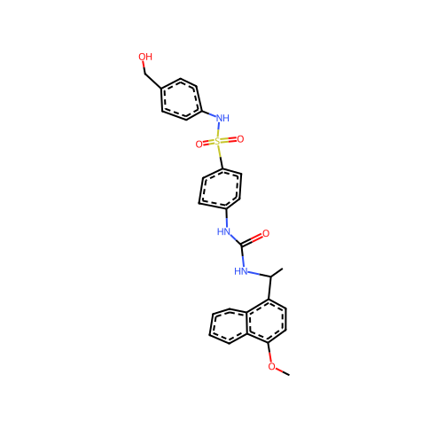 COc1ccc(C(C)NC(=O)Nc2ccc(S(=O)(=O)Nc3ccc(CO)cc3)cc2)c2ccccc12